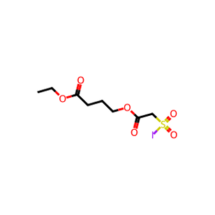 CCOC(=O)CCCOC(=O)CS(=O)(=O)I